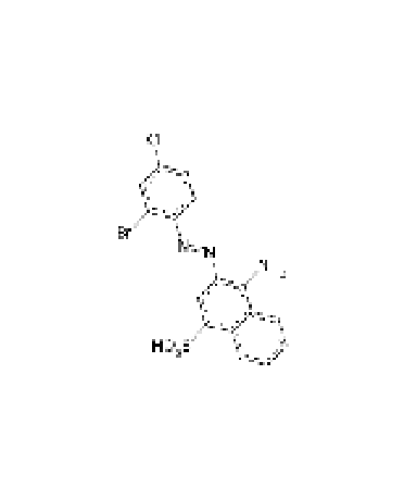 Nc1c(/N=N/c2ccc(Cl)cc2Br)cc(S(=O)(=O)O)c2ccccc12